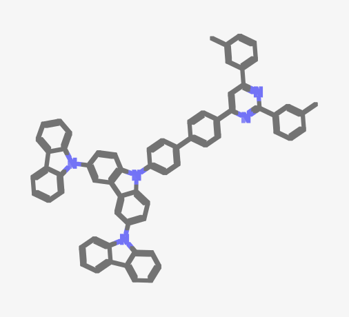 Cc1cccc(-c2cc(-c3ccc(-c4ccc(-n5c6ccc(-n7c8ccccc8c8ccccc87)cc6c6cc(-n7c8ccccc8c8ccccc87)ccc65)cc4)cc3)nc(-c3cccc(C)c3)n2)c1